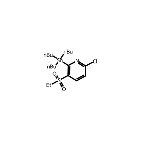 CCC[CH2][Sn]([CH2]CCC)([CH2]CCC)[c]1nc(Cl)ccc1S(=O)(=O)CC